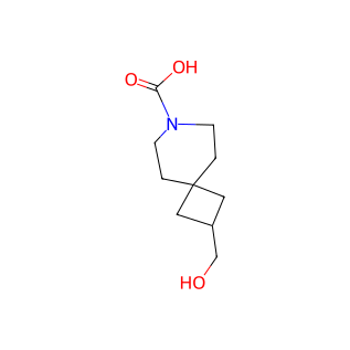 O=C(O)N1CCC2(CC1)CC(CO)C2